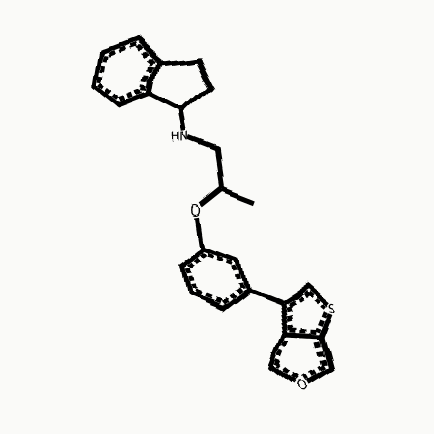 CC(CNC1CCc2ccccc21)Oc1cccc(-c2csc3cocc23)c1